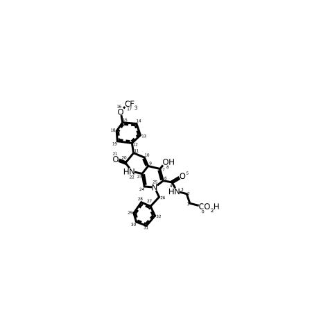 O=C(O)CCNC(=O)C1=C(O)C2=CC(c3ccc(OC(F)(F)F)cc3)C(=O)NC2=CN1Cc1ccccc1